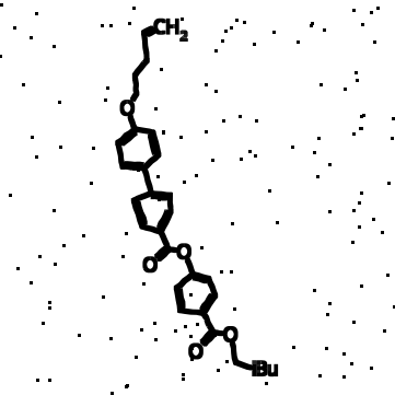 C=CCCCOc1ccc(-c2ccc(C(=O)Oc3ccc(C(=O)OCC(C)CC)cc3)cc2)cc1